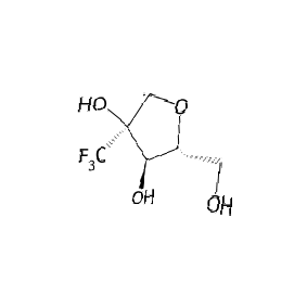 OC[C@H]1O[CH][C@@](O)(C(F)(F)F)[C@@H]1O